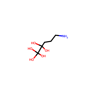 NCCCC(O)(O)C(O)(O)O